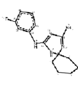 NC1=NC2(CCCCC2)NC(Nc2cccc(F)c2)=N1